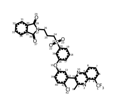 Cc1nc2c(C(F)(F)F)cccc2nc1-c1cc(Oc2cccc(S(=O)(=O)CCCN3C(=O)c4ccccc4C3=O)c2)ccc1Cl